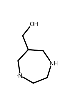 OCC1C[N]CCNC1